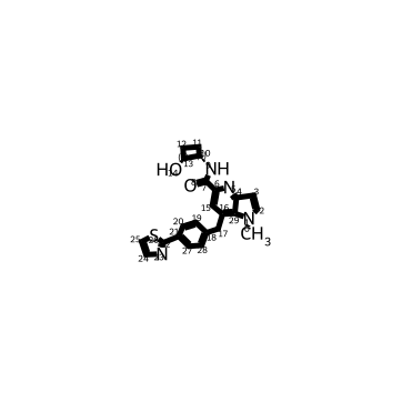 Cn1ccc2nc(C(=O)N[C@H]3CC[C@@H]3O)cc(Cc3ccc(-c4nccs4)cc3)c21